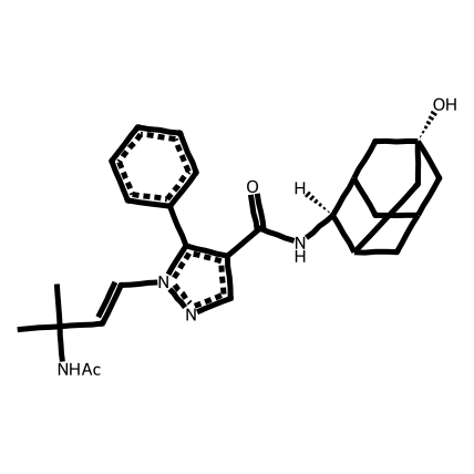 CC(=O)NC(C)(C)/C=C/n1ncc(C(=O)N[C@H]2C3CC4CC2C[C@](O)(C4)C3)c1-c1ccccc1